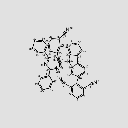 N#Cc1cccc(C#N)c1-c1ccc2c3cccc(-c4c(C#N)cccc4C#N)c3n(-c3nc(-c4ccccc4)nc(-c4ccccc4)n3)c2c1